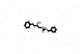 O=C(NC[C@H](O)CCc1ccccc1)OCc1ccccc1